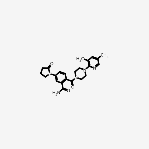 Cc1cnc(N2CCN(C(=O)c3ccc(N4CCCC4=O)cc3C(N)=O)CC2)c(C)c1